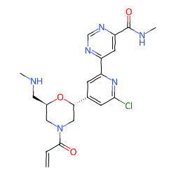 C=CC(=O)N1C[C@@H](CNC)O[C@H](c2cc(Cl)nc(-c3cc(C(=O)NC)ncn3)c2)C1